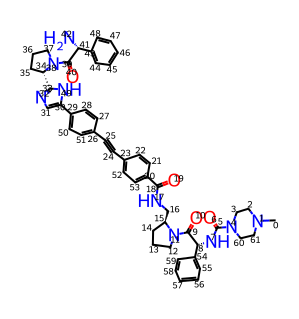 CN1CCN(C(=O)N[C@@H](C(=O)N2CCC[C@H]2CNC(=O)c2ccc(C#Cc3ccc(-c4cnc([C@@H]5CCCN5C(=O)[C@H](N)c5ccccc5)[nH]4)cc3)cc2)c2ccccc2)CC1